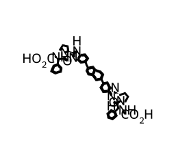 O=C(O)N[C@@H](C(=O)N1CCC[C@H]1c1nc2cc(-c3ccc4cc(-c5ccc6[nH]c([C@@H]7CCCN7C(=O)[C@H](NC(=O)O)c7ccccc7)nc6c5)ccc4c3)ccc2[nH]1)c1ccccc1